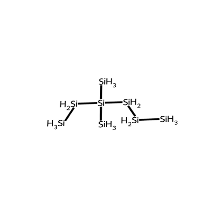 [SiH3][SiH2][SiH2][Si]([SiH3])([SiH3])[SiH2][SiH3]